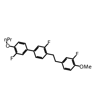 CCCOc1ccc(-c2ccc(CCc3ccc(OC)c(F)c3)c(F)c2)cc1F